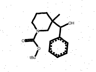 CC(C)(C)OC(=O)N1CCCC(C)(C(O)c2ccccc2)C1